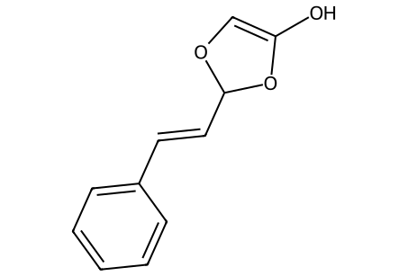 OC1=COC(/C=C/c2ccccc2)O1